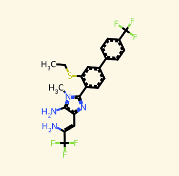 CCSc1cc(-c2ccc(C(F)(F)F)cc2)ccc1-c1nc(/C=C(\N)C(F)(F)F)c(N)n1C